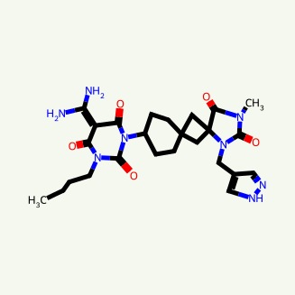 CCCCN1C(=O)C(=C(N)N)C(=O)N(C2CCC3(CC2)CC2(C3)C(=O)N(C)C(=O)N2Cc2cn[nH]c2)C1=O